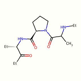 CCNC(C)C(=O)N1CCC[C@@H]1C(=O)N[C@@H](CC)C(=O)CC